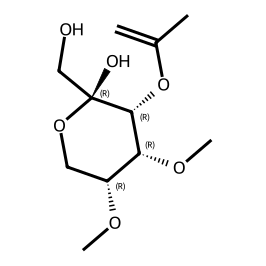 C=C(C)O[C@@H]1[C@H](OC)[C@H](OC)CO[C@]1(O)CO